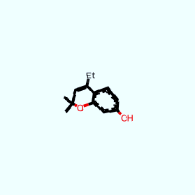 CCC1=CC(C)(C)Oc2cc(O)ccc21